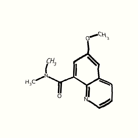 COc1cc(C(=O)N(C)C)c2ncccc2c1